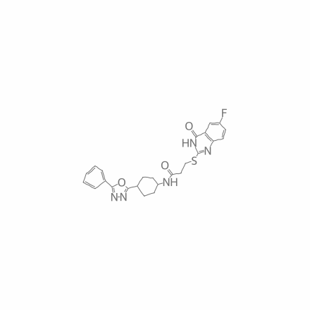 O=C(CCSc1nc2ccc(F)cc2c(=O)[nH]1)NC1CCC(c2nnc(-c3ccccc3)o2)CC1